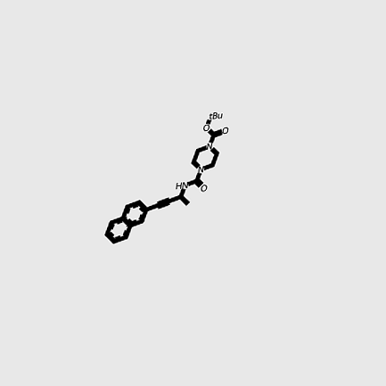 CC(C#Cc1ccc2ccccc2c1)NC(=O)N1CCN(C(=O)OC(C)(C)C)CC1